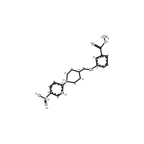 COC(=O)c1cccc(OCC2CCN(c3ccc([N+](=O)[O-])cn3)CC2)c1